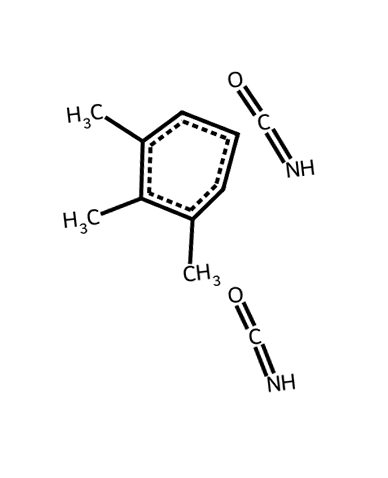 Cc1cccc(C)c1C.N=C=O.N=C=O